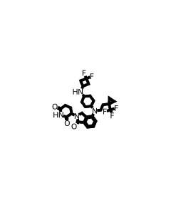 O=C1CCC(N2Cc3c(cccc3N(CCC3(C(F)(F)F)CC3)C3CCC(NC4CC(F)(F)C4)CC3)C2=O)C(=O)N1